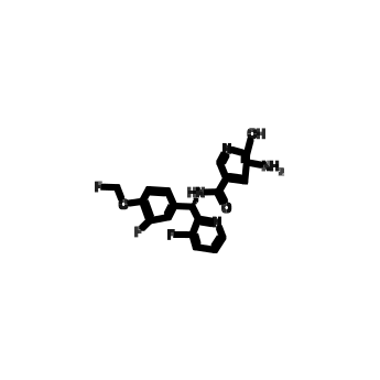 Nc1cc(C(=O)N[C@@H](c2ccc(OCF)c(F)c2)c2ncccc2F)cnc1O